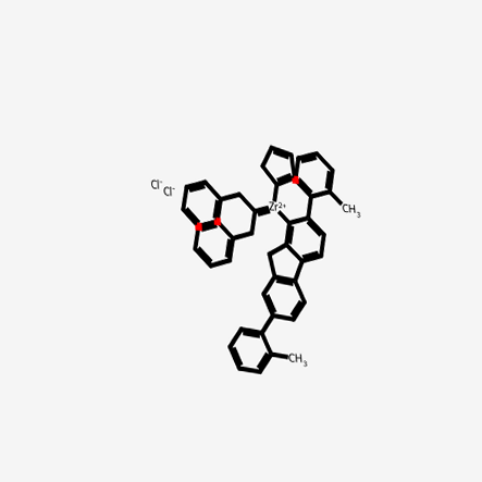 Cc1ccccc1-c1ccc2c(c1)Cc1c-2ccc(-c2ccccc2C)[c]1[Zr+2]([C]1=CC=CC1)=[C](Cc1ccccc1)Cc1ccccc1.[Cl-].[Cl-]